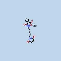 CC(C)(C)OC(=O)C1(C(=O)NCCCCCN2C(=O)C=CC2=O)CCC1